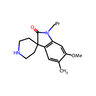 COc1cc2c(cc1C)C1(CCNCC1)C(=O)N2C(C)C